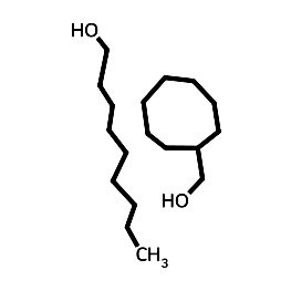 CCCCCCCCCO.OCC1CCCCCCC1